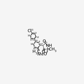 COCC1(C)NC(=O)C(c2cc(-c3ccc(Cl)cc3)ccc2C)C1=O